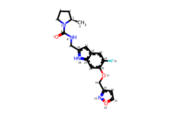 C[C@@H]1CCCN1C(=O)NCc1cc2cc(F)c(OCc3ccon3)cc2[nH]1